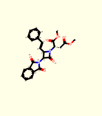 COC(=O)C[C@@H](C(=O)OC)N1C(=O)C(N2C(=O)c3ccccc3C2=O)C1/C=C/c1ccccc1